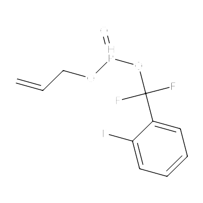 C=CCO[PH](=O)OC(F)(F)c1ccccc1F